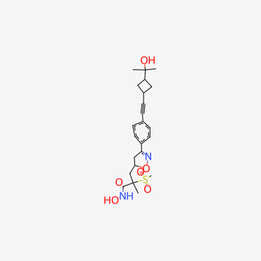 CC(C)(O)C1CC(C#Cc2ccc(C3=NOC(CC(C)(C(=O)NO)S(C)(=O)=O)C3)cc2)C1